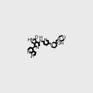 Cn1ccc2c(-c3ncc(Nc4ccc(N5CCC[C@@](O)(CN6CCOCC6)C5)cn4)c4c3CNC4=O)ccnc21